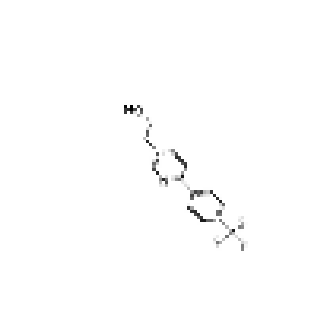 OCCc1ccc(-c2ccc(C(F)(F)F)cc2)nc1